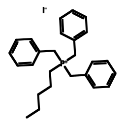 CCCCC[P+](Cc1ccccc1)(Cc1ccccc1)Cc1ccccc1.[I-]